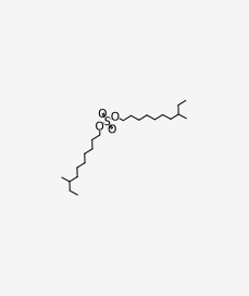 CCC(C)CCCCCCCOS(=O)(=O)OCCCCCCCC(C)CC